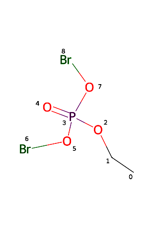 CCOP(=O)(OBr)OBr